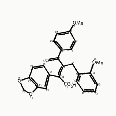 COc1ccc(C(=O)C(Cc2ccccc2OC)=C(C(=O)O)c2ccc3c(c2)OCO3)cc1